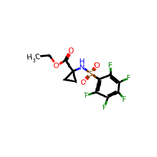 CCOC(=O)C1(NS(=O)(=O)c2c(F)c(F)c(F)c(F)c2F)CC1